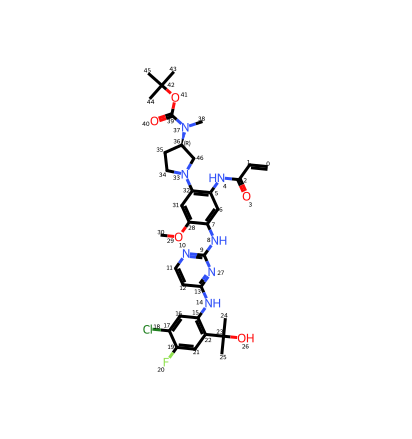 C=CC(=O)Nc1cc(Nc2nccc(Nc3cc(Cl)c(F)cc3C(C)(C)O)n2)c(OC)cc1N1CC[C@@H](N(C)C(=O)OC(C)(C)C)C1